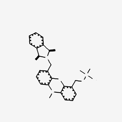 CN1c2cccc(CO[Si](C)(C)C(C)(C)C)c2Sc2c(CN3C(=O)c4ccccc4C3=O)cccc21